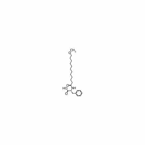 COCCCCCCCCCCCC(=O)N[C@@H](Cc1ccccc1)C(=O)O